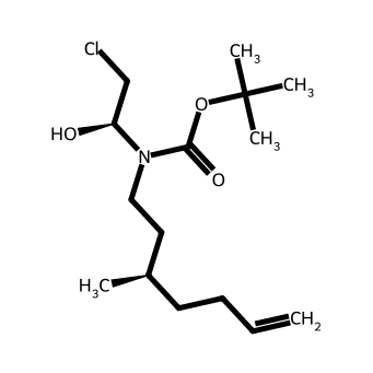 C=CCC[C@@H](C)CCN(C(=O)OC(C)(C)C)[C@@H](O)CCl